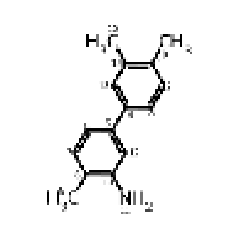 Cc1ccc(-c2ccc(C)c(N)c2)cc1C